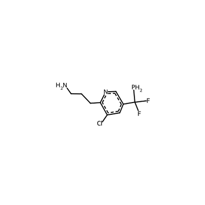 NCCCc1ncc(C(F)(F)P)cc1Cl